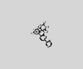 C[C@@H]1CN2c3ccc(-c4cnccn4)nc3CC3(C(=O)NC(=O)NC3=O)[C@H]2[C@H](C)O1